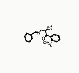 CCC(CN=Cc1ccccc1)C(=O)c1ccccc1[S+](C)[O-]